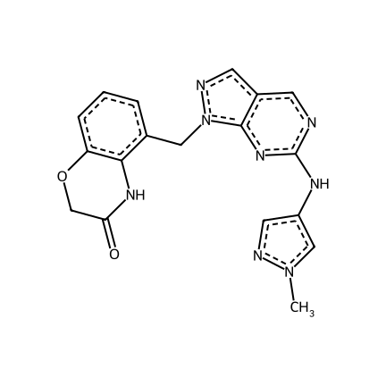 Cn1cc(Nc2ncc3cnn(Cc4cccc5c4NC(=O)CO5)c3n2)cn1